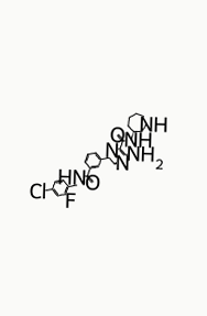 Nc1ncc(-c2cccc(C(=O)NCc3ccc(Cl)cc3F)c2)nc1C(=O)N[C@H]1CCCCNC1